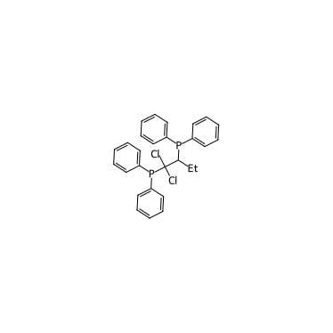 CCC(P(c1ccccc1)c1ccccc1)C(Cl)(Cl)P(c1ccccc1)c1ccccc1